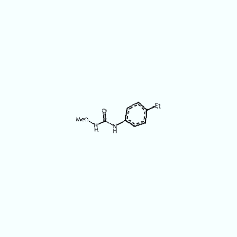 CCc1ccc(NC(=O)NOC)cc1